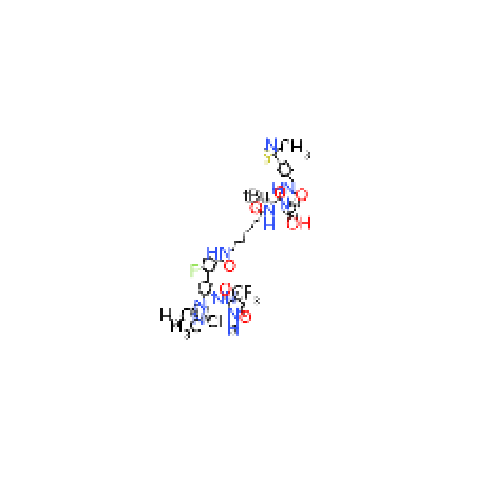 Cc1ncsc1-c1ccc(CNC(=O)[C@@H]2C[C@@H](O)CN2C(=O)C(NC(=O)CCCCCCCNC(=O)c2ccc(F)c(-c3ccc(N4C[C@@H](C)N(C)[C@@H](C)C4)c(NC(=O)c4c[nH]c(=O)cc4C(F)(F)F)c3)c2)C(C)(C)C)cc1